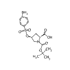 Bc1ccc(S(=O)(=O)O[C@H]2C[C@@H](C(=O)O)N(C(=O)OC(C)(C)C)C2)cc1